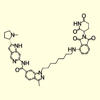 Cc1nn(CCCCCCCCNc2cccc3c2C(=O)N(C2CCC(=O)NC2=O)C3=O)c2cc(C(=O)Nc3cc4[nH]c([C@@H]5CCCN5C)cc4cn3)ccc12